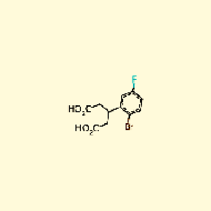 O=C(O)CC(CC(=O)O)c1cc(F)ccc1Br